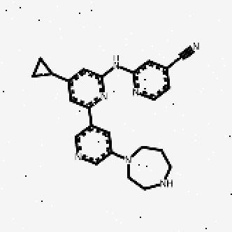 N#Cc1ccnc(Nc2cc(C3CC3)cc(-c3cncc(N4CCCNCC4)c3)n2)c1